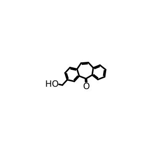 O=c1c2ccccc2ccc2ccc(CO)cc12